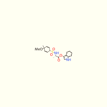 COC1(C)C=CC(S(=O)(=O)N[C@@H](C)C(=O)Oc2c[nH]c3ccccc23)C=C1